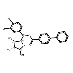 O=C(O[C@H](c1ccc(Cl)c(Cl)c1)[C@H]1O[C@@H](O)[C@H](O)[C@@H]1O)c1ccc(-c2ccccc2)cc1